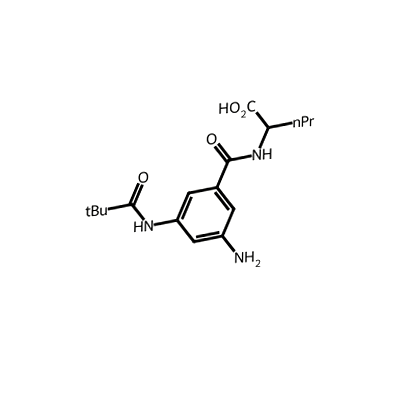 CCCC(NC(=O)c1cc(N)cc(NC(=O)C(C)(C)C)c1)C(=O)O